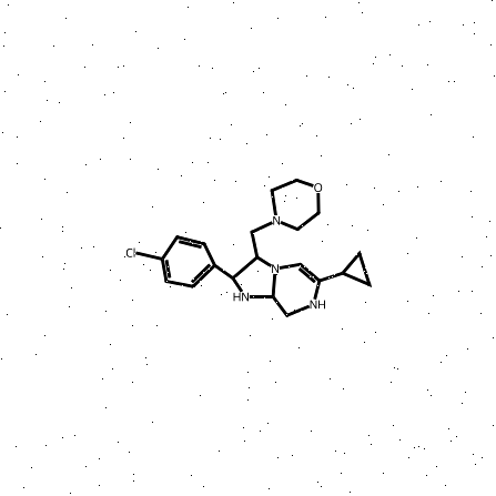 Clc1ccc(C2NC3CNC(C4CC4)=CN3C2CN2CCOCC2)cc1